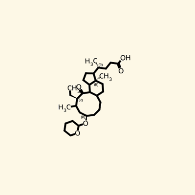 CC[C@H]1C(=O)C2C(CCC[C@@H](OC3CCCCO3)CC1C)CC[C@@]1(C)C2CCC1[C@H](C)CCC(=O)O